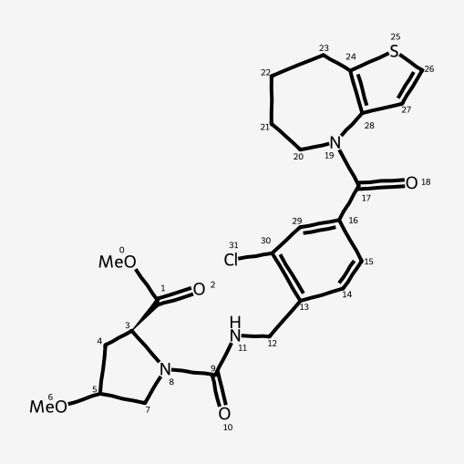 COC(=O)[C@@H]1CC(OC)CN1C(=O)NCc1ccc(C(=O)N2CCCCc3sccc32)cc1Cl